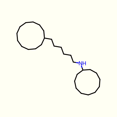 C1CCCCCC(CCCCCCNC2CCCCCCCCCC2)CCCCC1